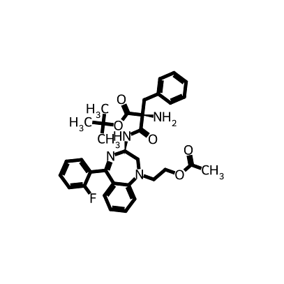 CC(=O)OCCN1C[C@H](NC(=O)[C@@](N)(Cc2ccccc2)C(=O)OC(C)(C)C)N=C(c2ccccc2F)c2ccccc21